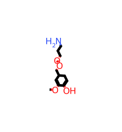 COC1=CC(COOCCCN)CC=C1O